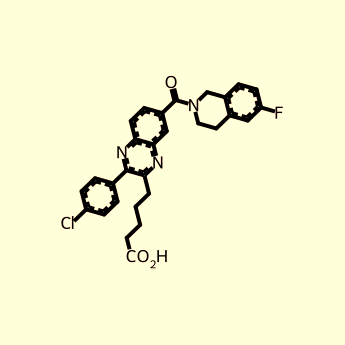 O=C(O)CCCCc1nc2cc(C(=O)N3CCc4cc(F)ccc4C3)ccc2nc1-c1ccc(Cl)cc1